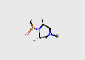 CC(C)N1C[C@H](C)N([S+](C)[O-])[C@@H](C)C1